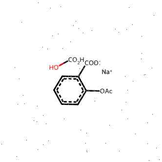 CC(=O)Oc1ccccc1C(=O)[O-].O=C(O)O.[Na+]